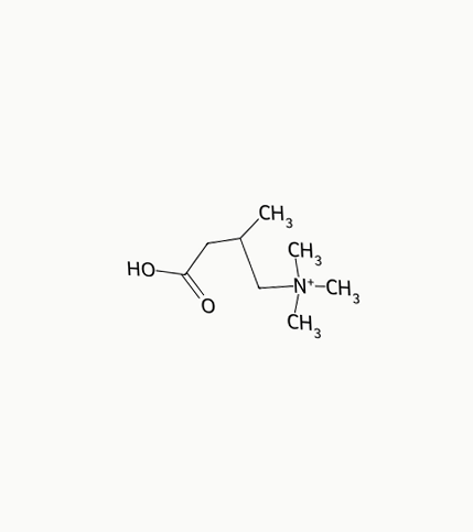 CC(CC(=O)O)C[N+](C)(C)C